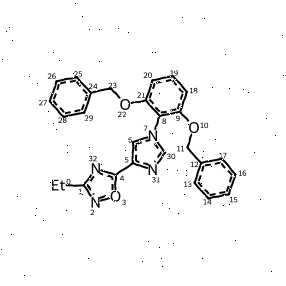 CCc1noc(-c2cn(-c3c(OCc4ccccc4)cccc3OCc3ccccc3)cn2)n1